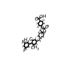 Cc1cc(CN2CCC3(CC2)CN(c2ccc(C(=O)O)cc2)C(=O)O3)cc(C)c1-c1cc(F)cc(F)c1